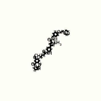 COc1cc2c(cc1OCCCC(=O)Nc1ccc(-c3cc(C(=O)NCc4ccc(OCCN5CCOCC5)cc4)n(C)c3)cc1)N=C[C@@H]1CCCN1C2=O